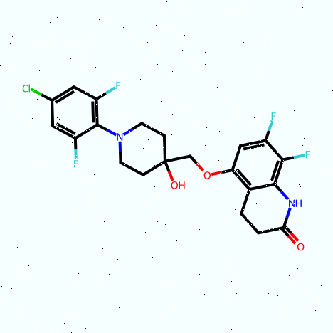 O=C1CCc2c(OCC3(O)CCN(c4c(F)cc(Cl)cc4F)CC3)cc(F)c(F)c2N1